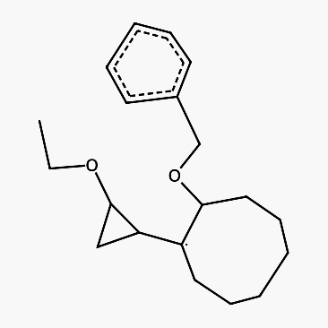 CCOC1CC1[C]1CCCCCCC1OCc1ccccc1